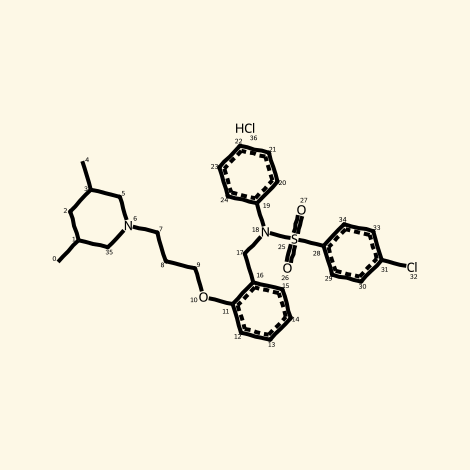 CC1CC(C)CN(CCCOc2ccccc2CN(c2ccccc2)S(=O)(=O)c2ccc(Cl)cc2)C1.Cl